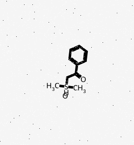 C[SH](C)(=O)CC(=O)c1ccccc1